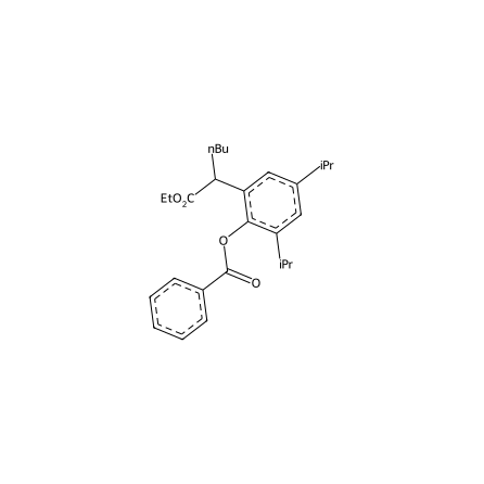 CCCCC(C(=O)OCC)c1cc(C(C)C)cc(C(C)C)c1OC(=O)c1ccccc1